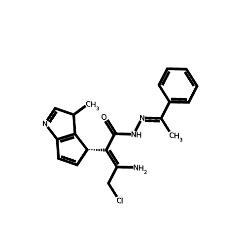 C/C(=N\NC(=O)/C(=C(\N)CCl)[C@@H]1C=CC2=C1C(C)C=N2)c1ccccc1